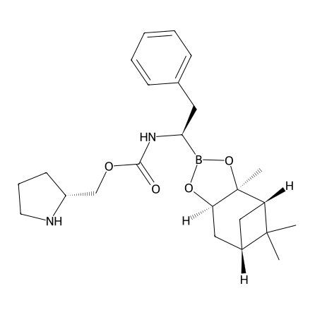 CC1(C)[C@@H]2C[C@H]3OB([C@H](Cc4ccccc4)NC(=O)OC[C@H]4CCCN4)O[C@@]3(C)[C@H]1C2